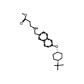 COC(=O)CCNCc1ccc2cc(O[C@H]3CC[C@H](C(C)(C)C)CC3)ccc2c1